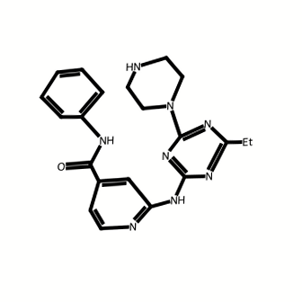 CCc1nc(Nc2cc(C(=O)Nc3ccccc3)ccn2)nc(N2CCNCC2)n1